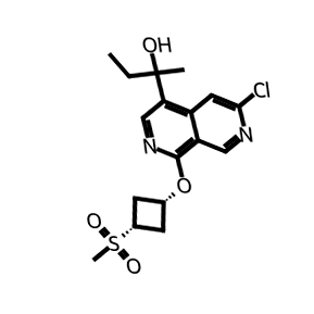 CCC(C)(O)c1cnc(O[C@H]2C[C@@H](S(C)(=O)=O)C2)c2cnc(Cl)cc12